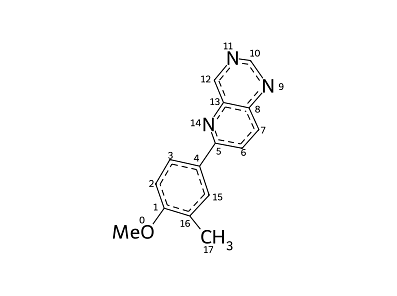 COc1ccc(-c2ccc3ncncc3n2)cc1C